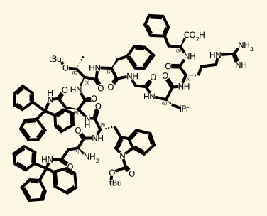 CC(C)C[C@H](NC(=O)CNC(=O)[C@H](Cc1ccccc1)NC(=O)[C@@H](NC(=O)[C@H](CC(=O)NC(c1ccccc1)(c1ccccc1)c1ccccc1)NC(=O)[C@H](Cc1cn(C(=O)OC(C)(C)C)c2ccccc12)NC(=O)[C@@H](N)CC(=O)NC(c1ccccc1)(c1ccccc1)c1ccccc1)[C@@H](C)OC(C)(C)C)C(=O)N[C@@H](CCCNC(=N)N)C(=O)N[C@@H](Cc1ccccc1)C(=O)O